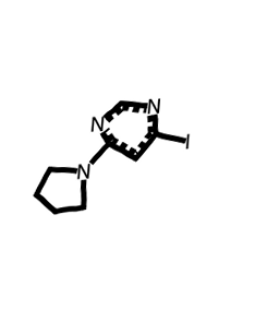 Ic1cc(N2CCCC2)ncn1